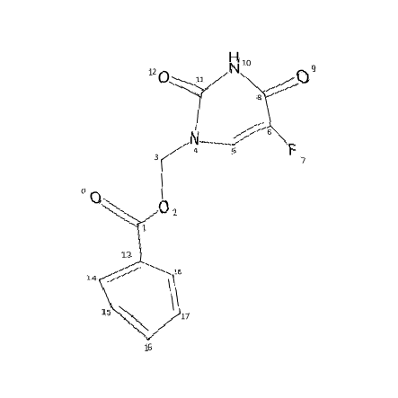 O=C(OCn1cc(F)c(=O)[nH]c1=O)c1ccccc1